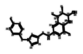 Cc1ccc(Cn2cc(CNc3nc(C)c4c(n3)N(C)[C@@H](C)C(O)N4)cn2)cn1